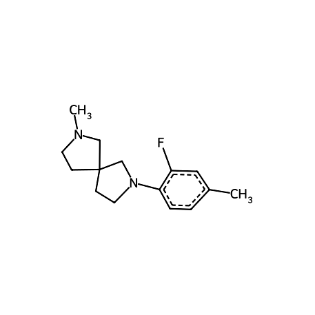 Cc1ccc(N2CCC3(CCN(C)C3)C2)c(F)c1